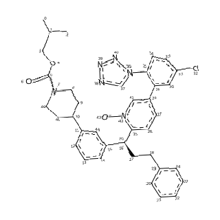 CC(C)COC(=O)N1CCC(c2cccc([C@H](CCc3ccccc3)c3ccc(-c4cc(Cl)ccc4-n4cnnn4)c[n+]3[O-])c2)CC1